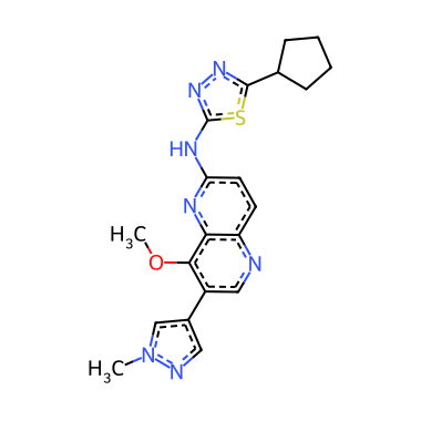 COc1c(-c2cnn(C)c2)cnc2ccc(Nc3nnc(C4CCCC4)s3)nc12